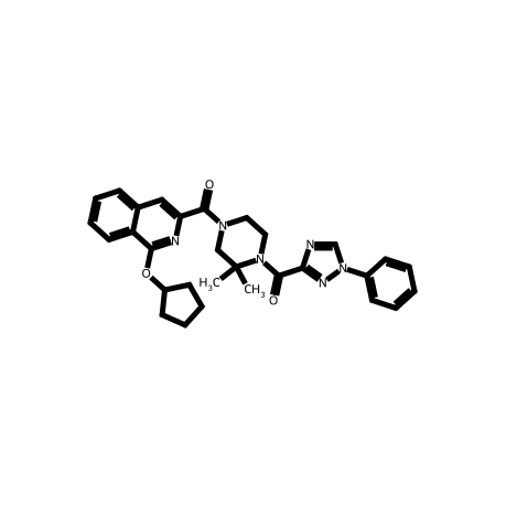 CC1(C)CN(C(=O)c2cc3ccccc3c(OC3CCCC3)n2)CCN1C(=O)c1ncn(-c2ccccc2)n1